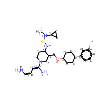 CN(SNC1CCN(/C(N)=C/C=C\N)CC1CO[C@H]1CC[C@@H](c2cccc(F)c2)CC1)C1CC1